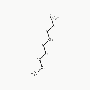 NOOCCOCCC(=O)O